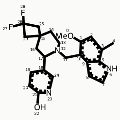 COc1cc(C)c2[nH]ccc2c1CN1CCC2(CC1c1ccc(O)nc1)CC(F)(F)C2